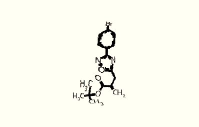 C=C(Cc1nc(-c2ccc(Br)cc2)no1)C(=O)OC(C)(C)C